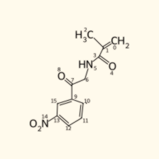 C=C(C)C(=O)NCC(=O)c1[c]ccc([N+](=O)[O-])c1